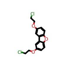 ClCCOc1ccc2oc3ccc(OCCCl)cc3c2c1